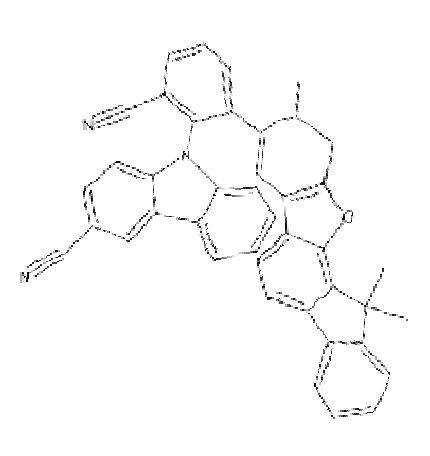 CC1Cc2oc3c4c(ccc3c2C=C1c1cccc(C#N)c1-n1c2ccccc2c2cc(C#N)ccc21)-c1ccccc1C4(C)C